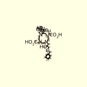 CCCCOP(=O)(CN1CCN(CC(=O)O)CCN(CC(O)COCc2ccccc2)CCN(CC(=O)O)CC1)OCCCC